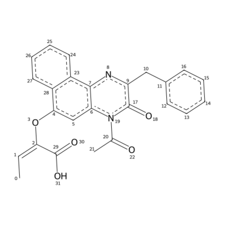 CC=C(Oc1cc2c(nc(Cc3ccccc3)c(=O)n2C(C)=O)c2ccccc12)C(=O)O